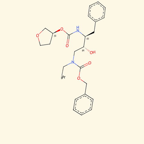 CC(C)CN(C[C@@H](O)[C@H](Cc1ccccc1)NC(=O)O[C@H]1CCOC1)C(=O)OCc1ccccc1